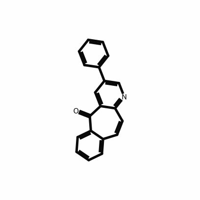 O=c1c2ccccc2ccc2ncc(-c3ccccc3)cc12